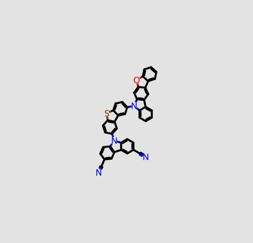 N#Cc1ccc2c(c1)c1cc(C#N)ccc1n2-c1ccc2sc3ccc(-n4c5ccccc5c5cc6c(cc54)oc4ccccc46)cc3c2c1